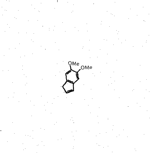 COc1cc2c(cc1OC)C=C[CH]2